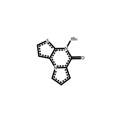 CC(C)(C)n1c(=O)c2cccn2c2ccsc21